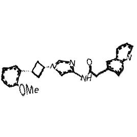 COc1ccccc1[C@H]1C[C@@H](n2cnc(NC(=O)Cc3ccc4ncccc4c3)c2)C1